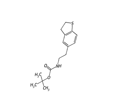 CC(C)(C)OC(=O)NCCc1ccc2c(c1)CCS2